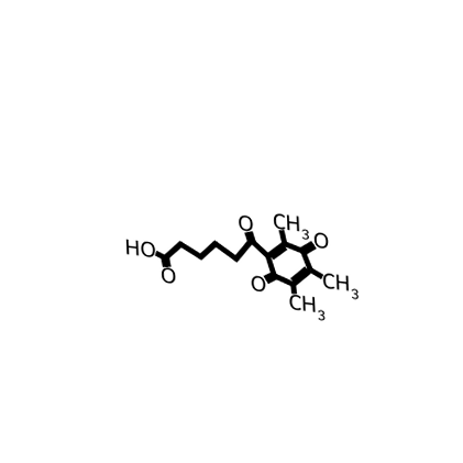 CC1=C(C)C(=O)C(C(=O)CCCCC(=O)O)=C(C)C1=O